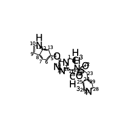 CCn1c(Oc2ccc3cc[nH]c3c2)nnc1[C@@H](C)NS(=O)(=O)Cc1ccncc1